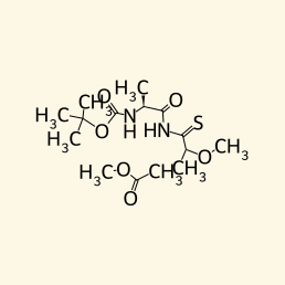 COC(C)=O.COC(C)C(=S)NC(=O)[C@H](C)NC(=O)OC(C)(C)C